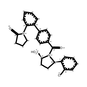 O=C(O)[C@@H]1CC[C@H](c2ccccc2Cl)N1C(=O)c1ccc(-c2ccccc2N2CCCC2=O)cc1